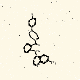 O=C(c1ccccc1Nc1ccnc2cc(C(F)(F)F)ccc12)N1CCN(c2ccc(Br)cc2)CC1